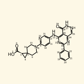 O=C(O)[C@@H]1CC12CCN(c1ccc(Nc3nc(-c4ccccc4)nc4cn[nH]c(=O)c34)cn1)CC2